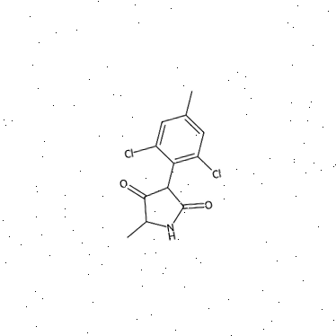 Cc1cc(Cl)c(C2C(=O)NC(C)C2=O)c(Cl)c1